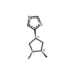 C[C@@H]1C[C@H](c2cncs2)CN1C